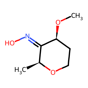 CO[C@H]1CCO[C@@H](C)/C1=N\O